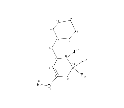 CCOC1=NC(CC2CCCCC2)C(I)C(F)(F)C1